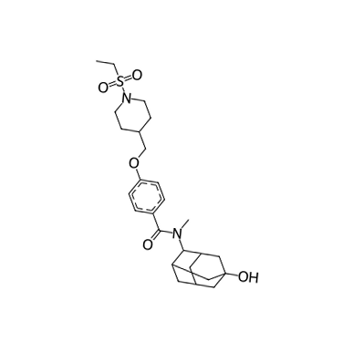 CCS(=O)(=O)N1CCC(COc2ccc(C(=O)N(C)C3C4CC5CC3CC(O)(C5)C4)cc2)CC1